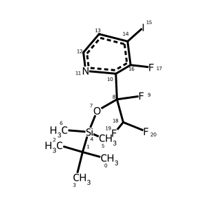 CC(C)(C)[Si](C)(C)OC(F)(c1nccc(I)c1F)C(F)F